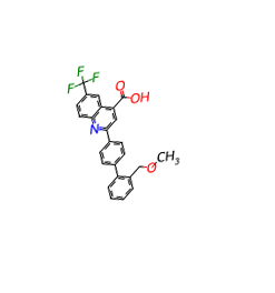 COCc1ccccc1-c1ccc(-c2cc(C(=O)O)c3cc(C(F)(F)F)ccc3n2)cc1